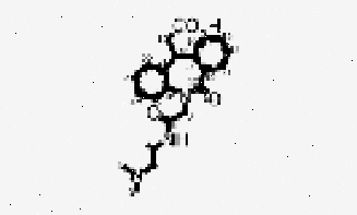 CN(C)CCNC(=O)CN1C(=O)c2ccccc2C(CC(=O)O)c2ccccc21